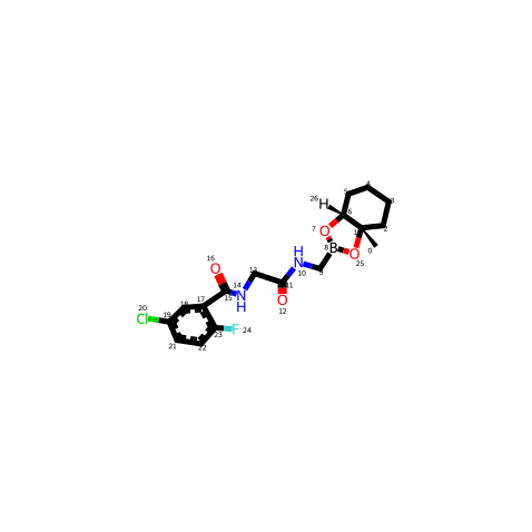 C[C@]12CCCC[C@H]1OB(CNC(=O)CNC(=O)c1cc(Cl)ccc1F)O2